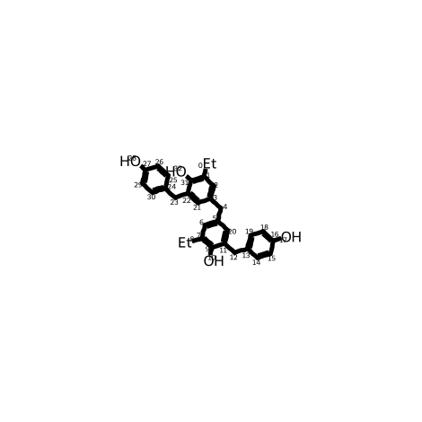 CCc1cc(Cc2cc(CC)c(O)c(Cc3ccc(O)cc3)c2)cc(Cc2ccc(O)cc2)c1O